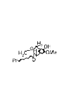 C=CCOCC=C.COc1cc(CNC(=O)CCCCC=CC(C)C)ccc1O